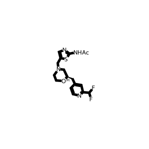 CC(=O)Nc1ncc(CN2CCO[C@H](Cc3ccnc(C(F)F)c3)C2)s1